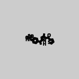 Cc1cc(C(C)c2ccc(NS(C)(=O)=O)cc2)[nH]c1C(=O)c1cccs1